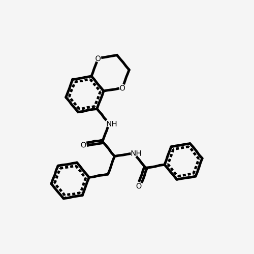 O=C(NC(Cc1ccccc1)C(=O)Nc1cccc2c1OCCO2)c1ccccc1